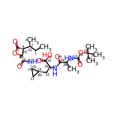 CC[C@H](C)[C@@H]1C(=O)O[C@H]1C(=O)N[C@H]1C[C@@H]1C[C@H](NC(=O)[C@H](C)NC(=O)OC(C)(C)C)C(=O)O